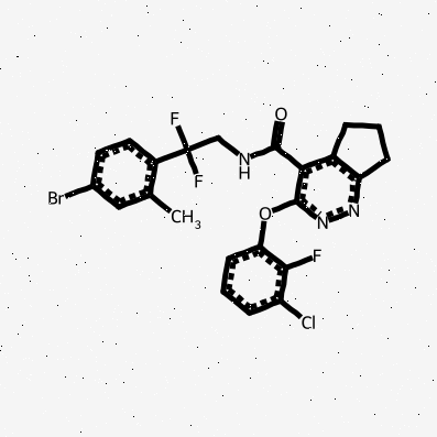 Cc1cc(Br)ccc1C(F)(F)CNC(=O)c1c(Oc2cccc(Cl)c2F)nnc2c1CCC2